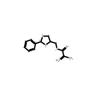 C=C(C)C(=O)SCC1CSC(c2ccccc2)S1